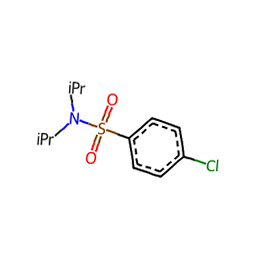 CC(C)N(C(C)C)S(=O)(=O)c1ccc(Cl)cc1